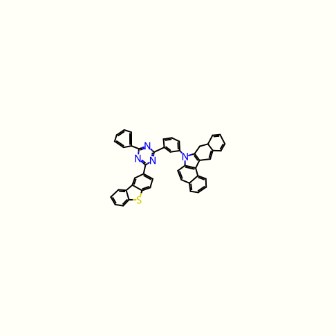 C1=CC2=Cc3c(n(-c4cccc(-c5nc(-c6ccccc6)nc(-c6ccc7sc8ccccc8c7c6)n5)c4)c4ccc5ccccc5c34)CC2C=C1